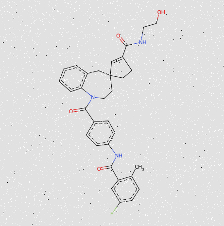 Cc1ccc(F)cc1C(=O)Nc1ccc(C(=O)N2CCC3(C=C(C(=O)NCCO)CC3)Cc3ccccc32)cc1